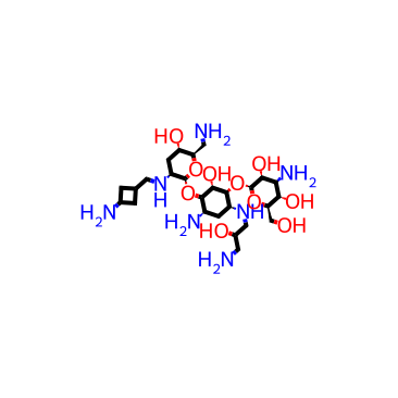 NCC(O)CN[C@@H]1C[C@H](N)C(O[C@H]2O[C@H](CN)[C@@H](O)C[C@H]2NCC2CC(N)C2)[C@H](O)[C@H]1O[C@H]1O[C@H](CO)[C@@H](O)[C@H](N)[C@H]1O